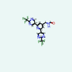 O=CNCc1cc(-c2cnc(C(F)(F)F)nc2)nc(-c2cnc(C(F)(F)F)nc2)c1